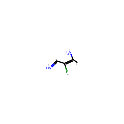 C/C(N)=C(\F)C=N